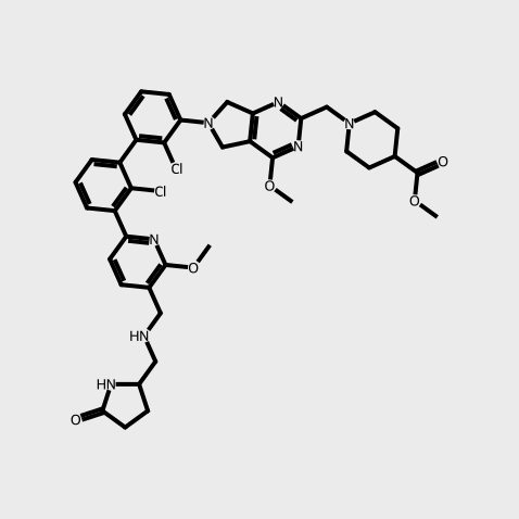 COC(=O)C1CCN(Cc2nc3c(c(OC)n2)CN(c2cccc(-c4cccc(-c5ccc(CNCC6CCC(=O)N6)c(OC)n5)c4Cl)c2Cl)C3)CC1